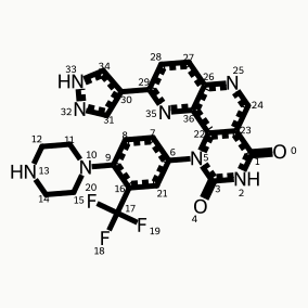 O=c1[nH]c(=O)n(-c2ccc(N3CCNCC3)c(C(F)(F)F)c2)c2c1cnc1ccc(-c3cn[nH]c3)nc12